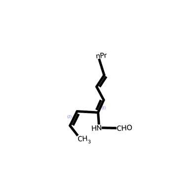 C/C=C\C(=C/C=CCCC)NC=O